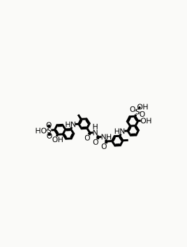 Cc1ccc(C(=O)NC(=O)NC(=O)c2ccc(C)c(Nc3cccc4c(O)c(S(=O)(=O)O)ccc34)c2)cc1Nc1cccc2c(O)c(S(=O)(=O)O)ccc12